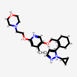 O=Cc1cc(OCCN2CCOCC2)ncc1OCC1=C(c2ccnn2C2CC2)CCCC1